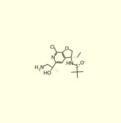 CC[C@@]1(N[S+]([O-])C(C)(C)C)COc2c1cc([C@@](C)(O)CN)nc2Cl